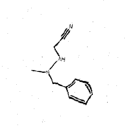 CN(Cc1ccccc1)NCC#N